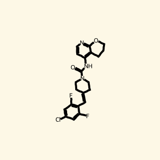 O=C(Nc1ccnc2c1CCCO2)N1CCC(=Cc2c(F)cc(Cl)cc2F)CC1